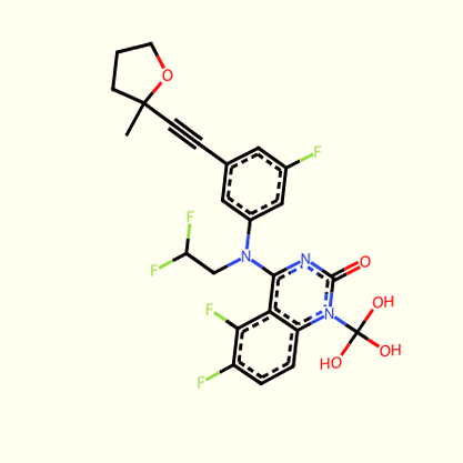 CC1(C#Cc2cc(F)cc(N(CC(F)F)c3nc(=O)n(C(O)(O)O)c4ccc(F)c(F)c34)c2)CCCO1